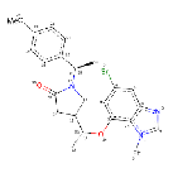 CCn1cnc2cc(Br)cc(O[C@H](C)C3CC(=O)N([C@H](C)c4ccc(OC)cc4)C3)c21